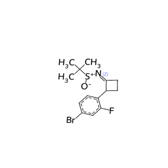 CC(C)(C)[S+]([O-])/N=C1/CCC1c1ccc(Br)cc1F